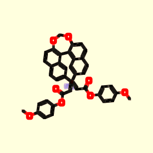 COc1ccc(OC(=O)/C=C\c2ccc3ccc4c(c3c2)-c2c(ccc3ccc(/C=C\C(=O)Oc5ccc(OC)cc5)cc23)OCO4)cc1